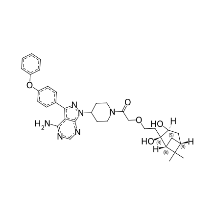 CC1(C)[C@@H]2C[C@H]1[C@](O)(CCOCC(=O)N1CCC(n3nc(-c4ccc(Oc5ccccc5)cc4)c4c(N)ncnc43)CC1)[C@@H](O)C2